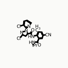 Cc1cc(C#N)cc(C(=O)NC(C)C)c1NC(=O)C1CC(Cl)=NN1c1ncccc1Cl